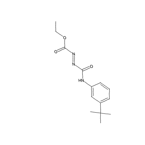 CCOC(=O)/N=N/C(=O)Nc1cccc(C(C)(C)C)c1